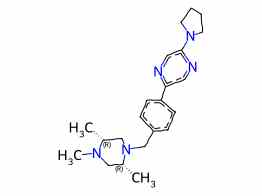 C[C@@H]1CN(Cc2ccc(-c3cnc(N4CCCC4)cn3)cc2)[C@H](C)CN1C